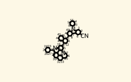 N#Cc1ccc2c(c1)c1cc(-c3ccc(-c4ccc5c(c4)nc(-c4ccccc4)c4ccc6ccc7cccnc7c6c45)c4ccccc34)ccc1n2-c1ccccc1